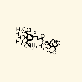 CC(C)(C)c1cc(CCC(=O)OCC(C)(C)C2OCOCC23COCOC3)cc(C(C)(C)C)c1O